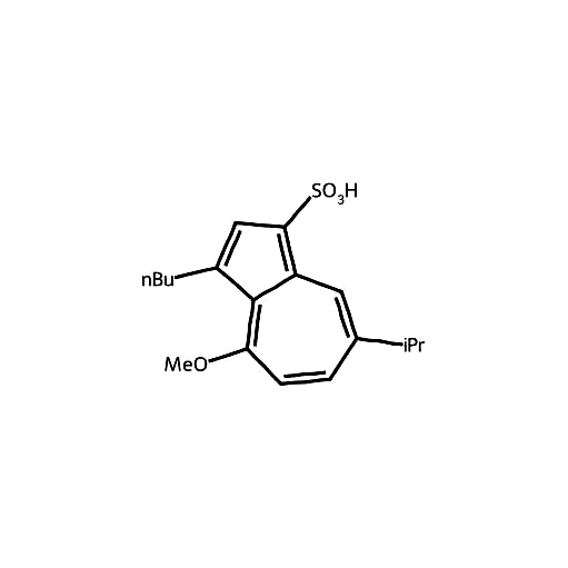 CCCCc1cc(S(=O)(=O)O)c2cc(C(C)C)ccc(OC)c1-2